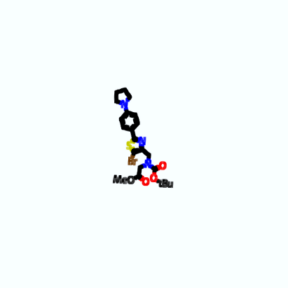 COC(=O)CN(Cc1nc(-c2ccc(N3CCCC3)cc2)sc1Br)C(=O)OC(C)(C)C